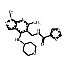 CCn1ncc2c(NC3CCOCC3)c(CNC(=O)c3cncs3)c(C)nc21